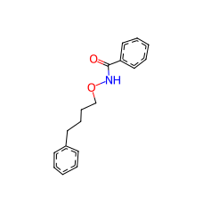 O=C(NOCCCCc1ccccc1)c1ccccc1